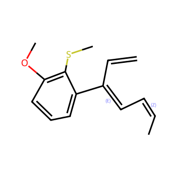 C=C/C(=C\C=C/C)c1cccc(OC)c1SC